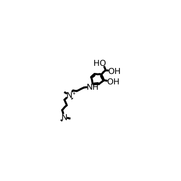 CN(C)CCC[N+](C)(C)CCCNc1ccc(C(O)O)c(O)c1